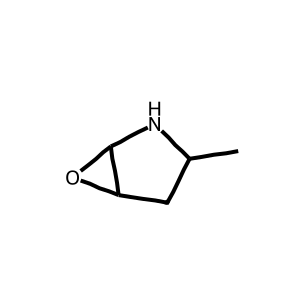 CC1CC2OC2N1